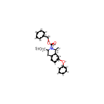 CCOC(=O)C1Cc2ccc(Oc3ccccc3)cc2C(C)N1C(=O)OCc1ccccc1